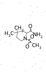 CC1(C)[CH]C(C(N)=O)N(S(C)(=O)=O)CC1